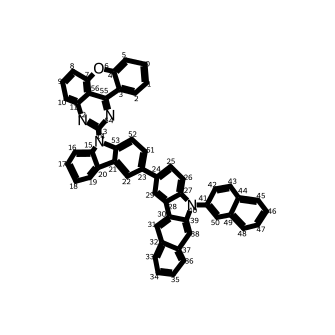 c1ccc2c(c1)Oc1cccc3nc(-n4c5ccccc5c5cc(-c6ccc7c(c6)c6cc8ccccc8cc6n7-c6ccc7ccccc7c6)ccc54)nc-2c13